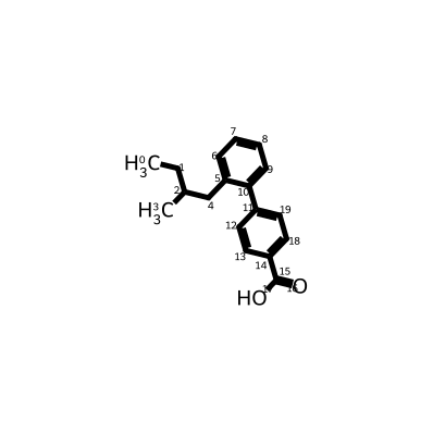 CCC(C)Cc1ccccc1-c1ccc(C(=O)O)cc1